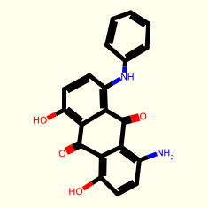 Nc1ccc(O)c2c1C(=O)c1c(Nc3ccccc3)ccc(O)c1C2=O